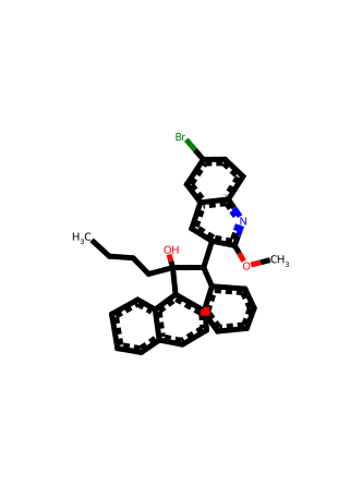 CCCCC(O)(c1cccc2ccccc12)C(c1ccccc1)c1cc2cc(Br)ccc2nc1OC